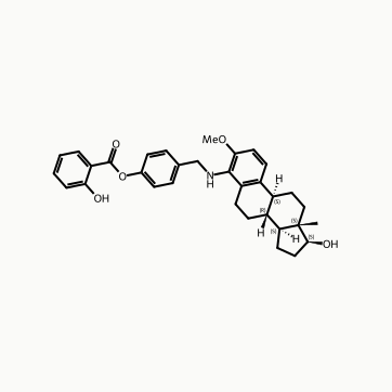 COc1ccc2c(c1NCc1ccc(OC(=O)c3ccccc3O)cc1)CC[C@@H]1[C@@H]2CC[C@]2(C)[C@@H](O)CC[C@@H]12